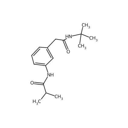 CC(C)C(=O)Nc1cccc(CC(=O)NC(C)(C)C)c1